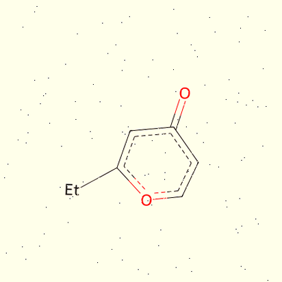 CCc1cc(=O)cco1